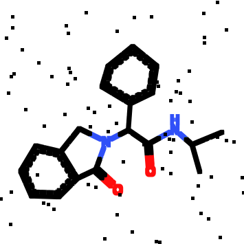 CC(C)NC(=O)C(c1ccccc1)N1Cc2ccccc2C1=O